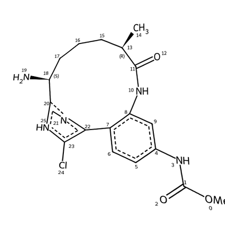 COC(=O)Nc1ccc2c(c1)NC(=O)[C@H](C)CCC[C@H](N)c1nc-2c(Cl)[nH]1